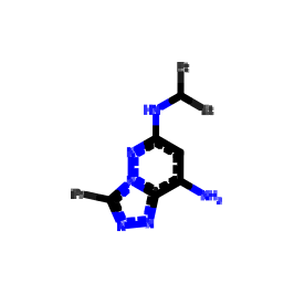 CCC(CC)Nc1cc(N)c2nnc(C(C)C)n2n1